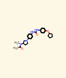 CC(=O)N(C)C1CCN(c2ccc(NC(=O)Nc3ccc(OC4CCCC4)cc3)cc2)C1